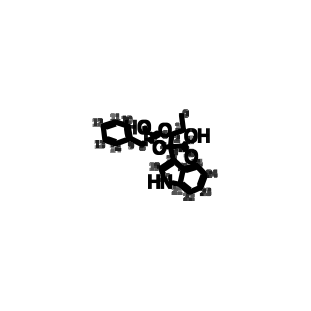 CCCC(OP(=O)(O)Cc1ccccc1)(C(=O)O)c1c[nH]c2ccccc12